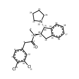 CN(C(=O)Cc1ccc(Cl)c(Cl)c1)[C@@H]1Cc2ccccc2[C@H]1N1CCCC1